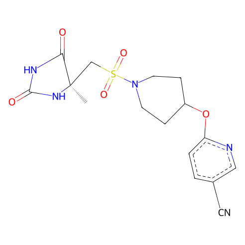 C[C@]1(CS(=O)(=O)N2CCC(Oc3ccc(C#N)cn3)CC2)NC(=O)NC1=O